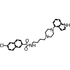 O=S(=O)(NCCCCN1CCN(c2cccc3[nH]ccc23)CC1)c1ccc2cc(Cl)ccc2c1